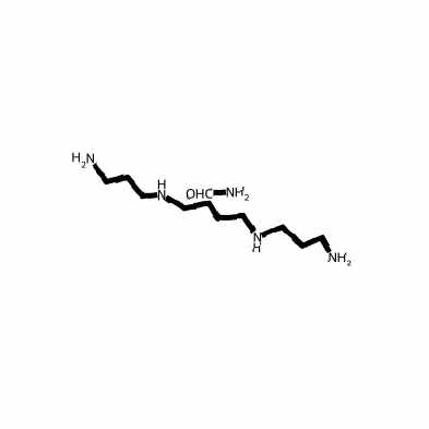 NC=O.NCCCNCCCCNCCCN